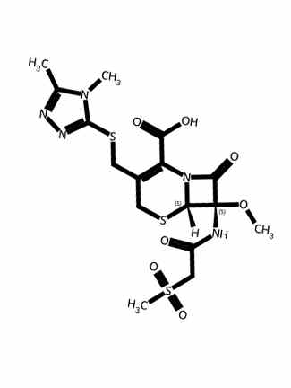 CO[C@@]1(NC(=O)CS(C)(=O)=O)C(=O)N2C(C(=O)O)=C(CSc3nnc(C)n3C)CS[C@H]21